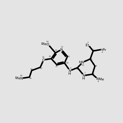 CCCC(CC)C1CC(NC)NC(Nc2cnc(OC)c(OCCCNC)c2)N1